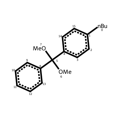 [CH2]CCCc1ccc(C(OC)(OC)c2ccccc2)cc1